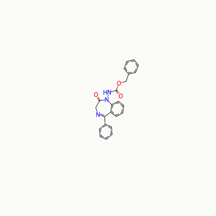 O=C(NN1C(=O)CN=C(c2ccccc2)c2ccccc21)OCc1ccccc1